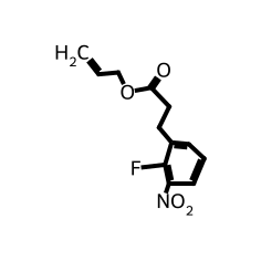 C=CCOC(=O)CCc1cccc([N+](=O)[O-])c1F